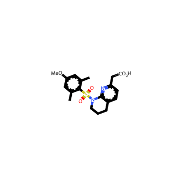 COc1cc(C)c(S(=O)(=O)N2CCCc3ccc(CC(=O)O)nc32)c(C)c1